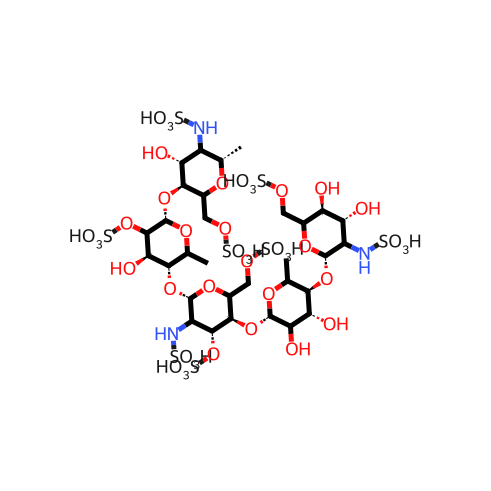 CC1O[C@@H](O[C@@H]2C(COS(=O)(=O)O)O[C@@H](O[C@H]3C(C)O[C@@H](O[C@@H]4C(COS(=O)(=O)O)O[C@@H](C)C(NS(=O)(=O)O)[C@H]4O)C(OS(=O)(=O)O)[C@@H]3O)C(NS(=O)(=O)O)[C@H]2OS(=O)(=O)O)C(O)[C@@H](O)[C@@H]1O[C@@H]1OC(COS(=O)(=O)O)[C@@H](O)[C@H](O)C1NS(=O)(=O)O